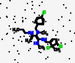 C=C(NCCC)/C(=C(\NC)NCC1=CC=C(Cl)C1(C)Cl)N(C)Cc1ccc(Cl)cc1